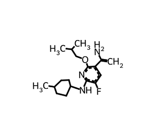 C=C(N)c1cc(F)c(NC2CCC(C)CC2)nc1OCC(C)C